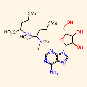 CSCCC(C(=O)O)[N+](=S)[S-].CSCCC(N)C(=O)O.Nc1ncnc2c1ncn2[C@@H]1O[C@H](CO)[C@@H](O)[C@H]1O